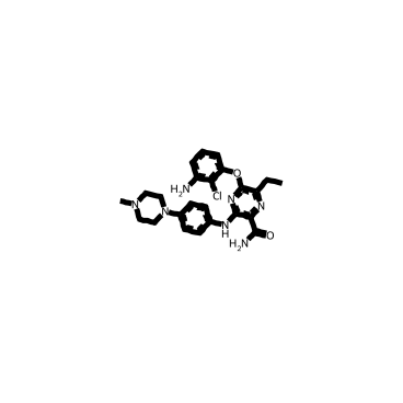 CCc1nc(C(N)=O)c(Nc2ccc(N3CCN(C)CC3)cc2)nc1Oc1cccc(N)c1Cl